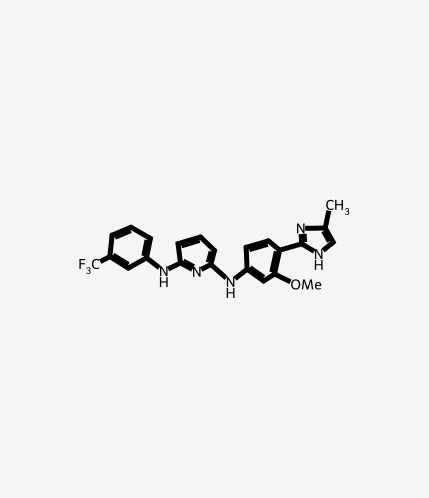 COc1cc(Nc2cccc(Nc3cccc(C(F)(F)F)c3)n2)ccc1-c1nc(C)c[nH]1